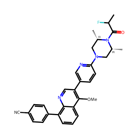 COc1c(-c2ccc(N3C[C@@H](C)N(C(=O)C(C)F)[C@@H](C)C3)nc2)cnc2c(-c3ccc(C#N)cc3)cccc12